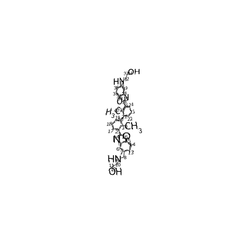 Cc1c(-c2nc3cc(CNCCO)ccc3o2)cccc1-c1cccc(-c2nc3cc(NCCO)ccc3o2)c1C